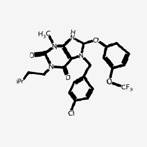 CC(C)CCn1c(=O)c2c(n(C)c1=O)NC(OC1C=C(OC(F)(F)F)C=CC1)N2Cc1ccc(Cl)cc1